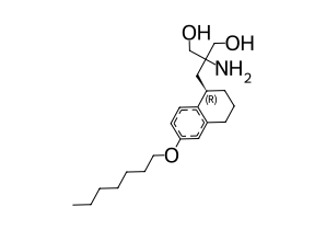 CCCCCCCOc1ccc2c(c1)CCC[C@@H]2CC(N)(CO)CO